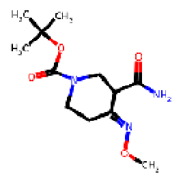 CON=C1CCN(C(=O)OC(C)(C)C)CC1C(N)=O